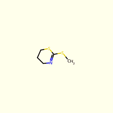 CSC1=NCCCS1